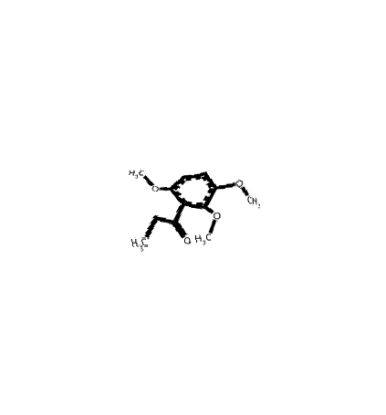 CCC(=O)c1c(OC)ccc(OC)c1OC